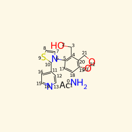 CC(N)=O.OCc1c(N2C=CSC2c2ccncc2)ccc2c1COO2